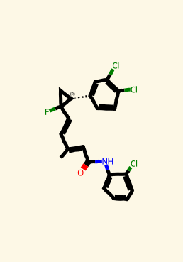 CC(C=CC1(F)C[C@@H]1c1ccc(Cl)c(Cl)c1)=CC(=O)Nc1ccccc1Cl